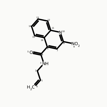 C=CCNC(=O)c1cc([N+](=O)[O-])nc2ccccc12